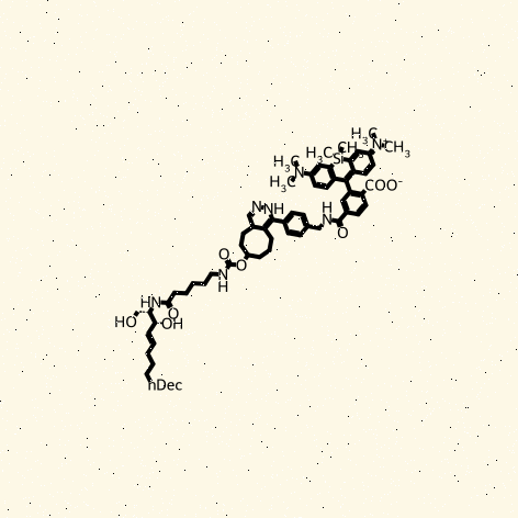 CCCCCCCCCCCCCC=C[C@@H](O)[C@H](CO)NC(=O)CCCCCNC(=O)OC1CCCC2=C(c3ccc(CNC(=O)c4ccc(C(=O)[O-])c(C5=C6C=CC(=[N+](C)C)C=C6[Si](C)(C)c6cc(N(C)C)ccc65)c4)cc3)NN=CC2CC1